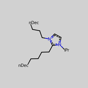 CCCCCCCCCCCCCCc1n(C(C)C)cc[n+]1CCCCCCCCCCCCC